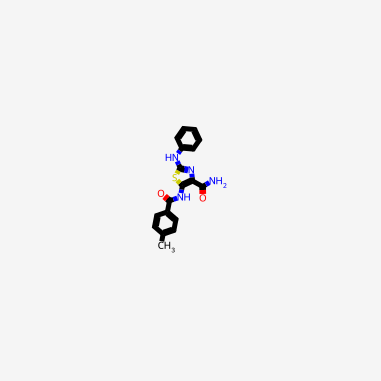 Cc1ccc(C(=O)Nc2sc(Nc3ccccc3)nc2C(N)=O)cc1